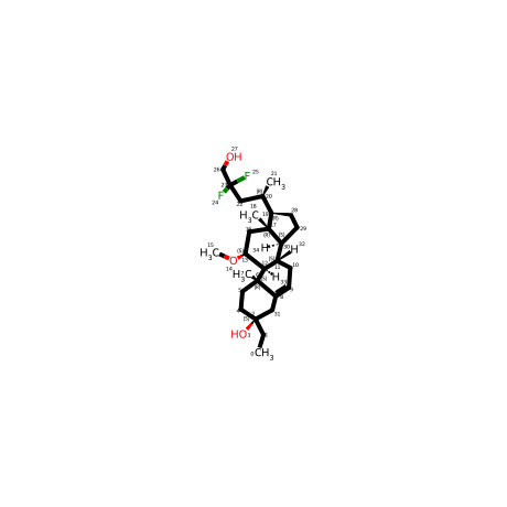 CC[C@]1(O)CC[C@@]2(C)C(=CC[C@@H]3[C@@H]2[C@@H](OC)C[C@]2(C)[C@@H]([C@H](C)CC(F)(F)CO)CC[C@@H]32)C1